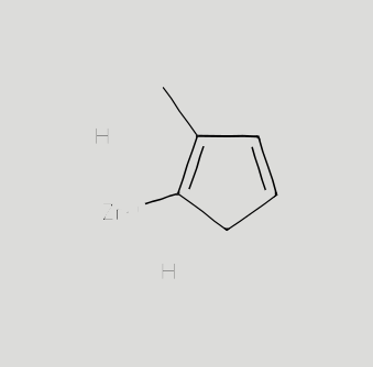 CC1=[C]([Zr+2])CC=C1.[H-].[H-]